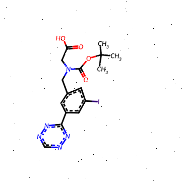 CC(C)(C)OC(=O)N(CC(=O)O)Cc1cc(I)cc(-c2nncnn2)c1